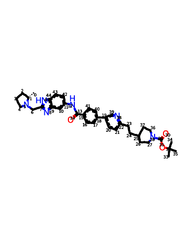 C[C@H]1CCCN1Cc1nc2cc(NC(=O)c3ccc(-c4ccc(CCC5CCN(C(=O)OC(C)(C)C)CC5)nc4)cc3)ccc2[nH]1